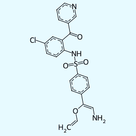 C=CO/C(=C\N)c1ccc(S(=O)(=O)Nc2ccc(Cl)cc2C(=O)c2cccnc2)cc1